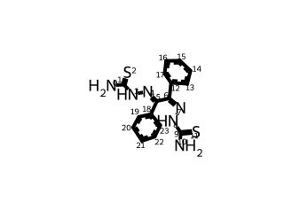 NC(=S)NN=C(C(=NNC(N)=S)c1ccccc1)c1ccccc1